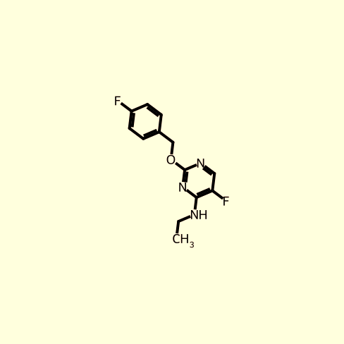 CCNc1nc(OCc2ccc(F)cc2)ncc1F